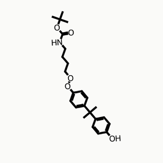 CC(C)(C)OC(=O)NCCCCOOc1ccc(C(C)(C)c2ccc(O)cc2)cc1